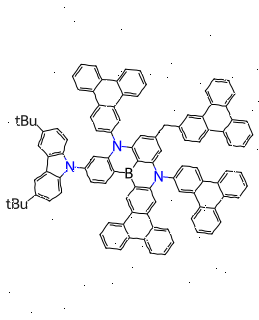 CC(C)(C)c1ccc2c(c1)c1cc(C(C)(C)C)ccc1n2-c1ccc2c(c1)N(c1ccc3c4ccccc4c4ccccc4c3c1)c1cc(Cc3ccc4c5ccccc5c5ccccc5c4c3)cc3c1B2c1cc2c4ccccc4c4ccccc4c2cc1N3c1ccc2c3ccccc3c3ccccc3c2c1